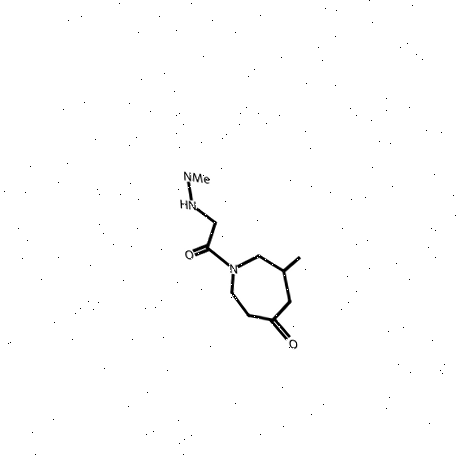 CNNCC(=O)N1CCC(=O)CC(C)C1